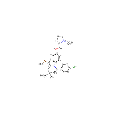 CC(C)(C)Sc1c(CC(C)(C)C(=O)O)n(Cc2ccc(Cl)cc2)c2ccc(OCC3CCCN3C(=O)O)cc12